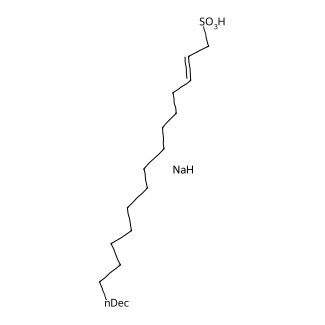 CCCCCCCCCCCCCCCCCCCCCC=CCS(=O)(=O)O.[NaH]